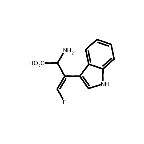 NC(C(=O)O)/C(=C/F)c1c[nH]c2ccccc12